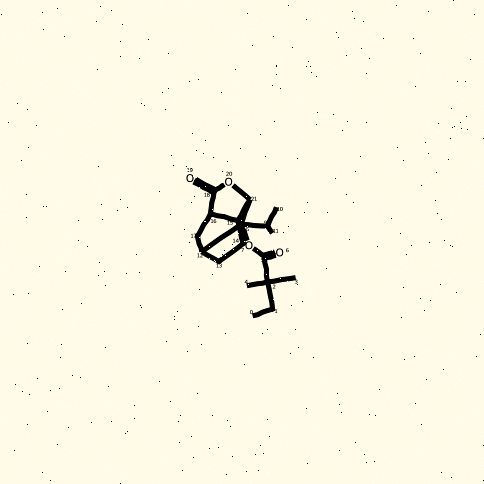 CCC(C)(C)C(=O)OC1(C(C)C)C2CCC3C(C2)C(=O)OC31